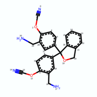 N#COc1ccc(C2(c3ccc(OC#N)c(CN)c3)OCc3ccccc32)cc1CN